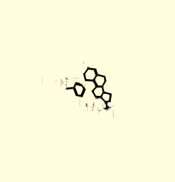 CN(C)Cc1ccc([C@H]2CC3(C)C(CC[C@@]3(O)C(F)(F)C(F)(F)F)C3CCC4=CC(=O)CCC4=C32)cc1